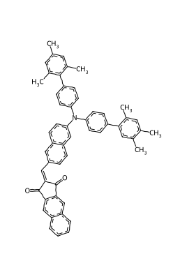 Cc1cc(C)c(-c2ccc(N(c3ccc(-c4cc(C)c(C)cc4C)cc3)c3ccc4cc(C=C5C(=O)c6cc7ccccc7cc6C5=O)ccc4c3)cc2)c(C)c1